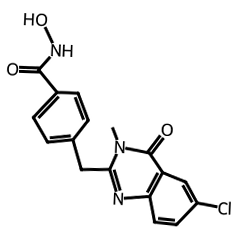 Cn1c(Cc2ccc(C(=O)NO)cc2)nc2ccc(Cl)cc2c1=O